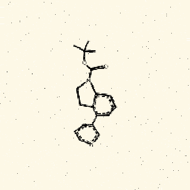 CC(C)(C)OC(=O)N1CCc2c(-c3cccnc3)cccc21